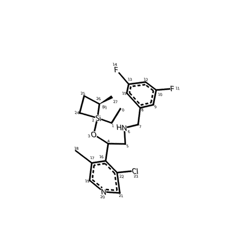 CC[Si]1(OC(CNCc2cc(F)cc(F)c2)c2c(C)cncc2Cl)CC[C@H]1C